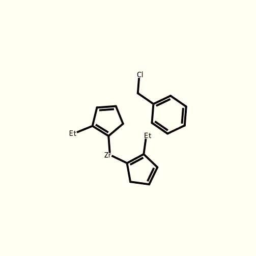 CCC1=[C]([Zr][C]2=C(CC)C=CC2)CC=C1.ClCc1ccccc1